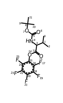 CC(C)C(NC(=O)OC(C)(C)C)C(=O)Oc1c(F)c(F)c(F)c(F)c1F